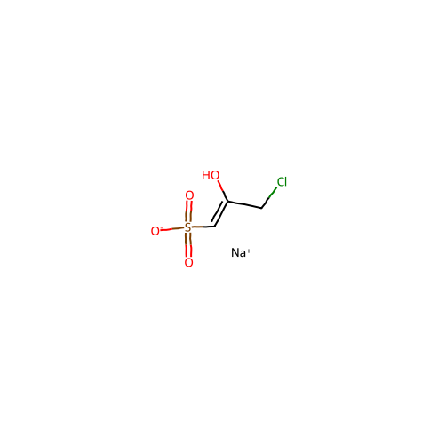 O=S(=O)([O-])C=C(O)CCl.[Na+]